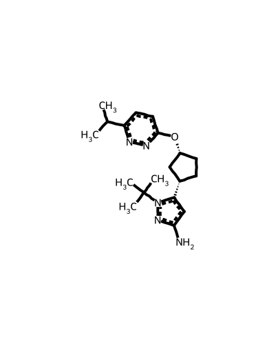 CC(C)c1ccc(O[C@@H]2CC[C@H](c3cc(N)nn3C(C)(C)C)C2)nn1